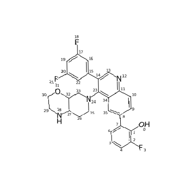 Oc1c(F)cccc1-c1ccc2ncc(-c3cc(F)cc(F)c3)c(N3CCC4NCCOC4C3)c2c1